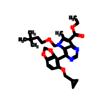 CCOC(=O)c1c(C)n(COCC[Si](C)(C)C)c2c(-c3c(OCC4CC4)ccc4c3OCO4)ncnc12